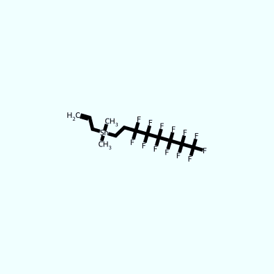 C=C[CH2][Sn]([CH3])([CH3])[CH2]CC(F)(F)C(F)(F)C(F)(F)C(F)(F)C(F)(F)C(F)(F)F